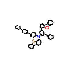 C1=C(c2ccc(-c3ccccc3)cc2)CCC(N(c2cc(-c3ccccc3)cc(-c3cccc4c3oc3ccccc34)c2)c2cccc3c2sc2ccccc23)=C1